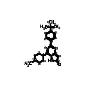 CN1CCC(c2nc(-c3ccc(C(C)(C)C)cc3)nc3cc(=O)[nH]n23)CC1